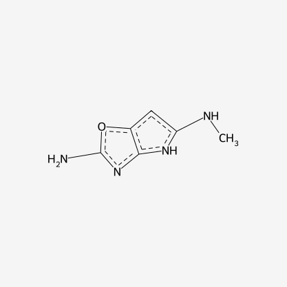 CNc1cc2oc(N)nc2[nH]1